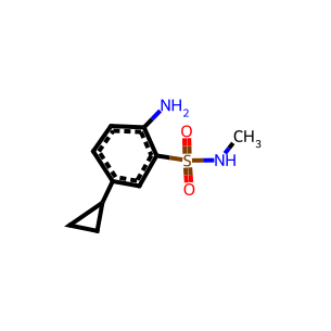 CNS(=O)(=O)c1cc(C2CC2)ccc1N